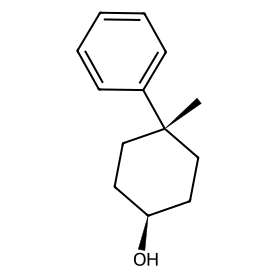 C[C@]1(c2ccccc2)CC[C@H](O)CC1